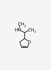 CNC(C)C1CC=CO1